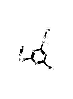 N#CO.Nc1nc(N)nc(N)n1.[O]=[Ti]